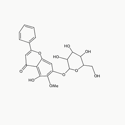 COc1c(OC2OC(CO)C(O)C(O)C2O)cc2oc(-c3ccccc3)cc(=O)c2c1O